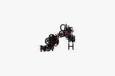 CC/C(=C(/c1ccc(OCCCCCCn2c(=O)n(C3CCOCC3)c3c4cc(-c5ccc(OCCCN(C)C)nc5)ccc4ncc32)cc1)c1ccc2[nH]ncc2c1)c1ccc(Cl)cc1F